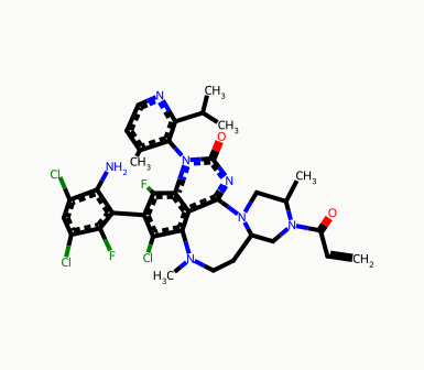 C=CC(=O)N1CC2CCN(C)c3c(Cl)c(-c4c(N)c(Cl)cc(Cl)c4F)c(F)c4c3c(nc(=O)n4-c3c(C)ccnc3C(C)C)N2CC1C